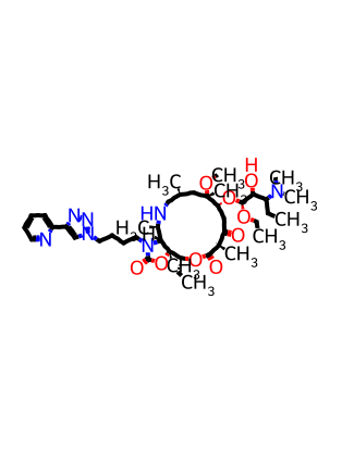 CCO[C@@H](O[C@@H]1CC(=O)[C@@H](C)C(=O)O[C@H](CC)[C@@]2(C)OC(=O)N(CCCCn3cc(-c4ccccn4)nn3)[C@@H]2[C@@H](C)NC[C@H](C)C[C@]1(C)OC)C(O)C(CC)N(C)C